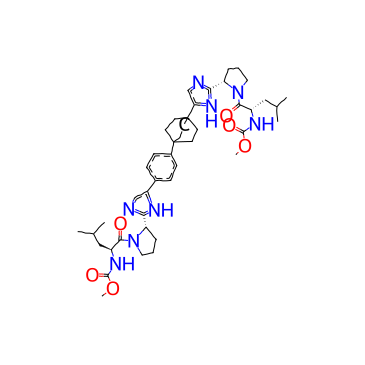 COC(=O)N[C@@H](CC(C)C)C(=O)N1CCC[C@H]1c1ncc(-c2ccc(C34CCC(c5cnc([C@@H]6CCCN6C(=O)[C@H](CC(C)C)NC(=O)OC)[nH]5)(CC3)CC4)cc2)[nH]1